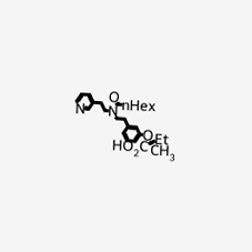 CCCCCCC(=O)N(CCc1cccnc1)CCc1cccc(OC(C)(CC)C(=O)O)c1